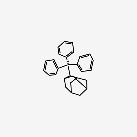 c1ccc([PH](c2ccccc2)(c2ccccc2)C2C3CC4CC(C3)CC2C4)cc1